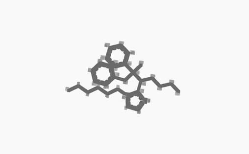 CCCCCCn1ccnc1C(CCCC)C(C)(Cc1ccccc1)c1ccccc1